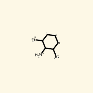 CCC1C[CH]CC(CC)C1N